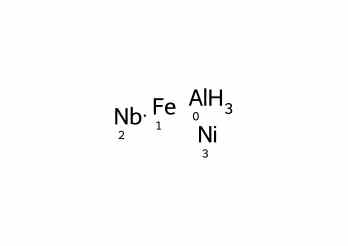 [AlH3].[Fe].[Nb].[Ni]